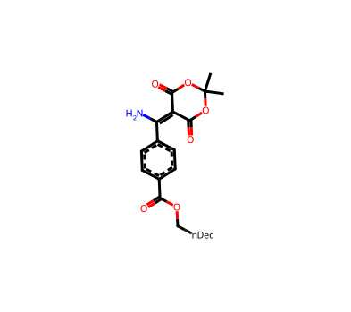 CCCCCCCCCCCOC(=O)c1ccc(C(N)=C2C(=O)OC(C)(C)OC2=O)cc1